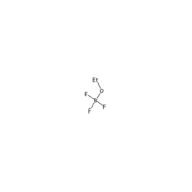 CCO[B-](F)(F)F